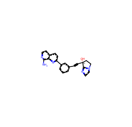 Nc1nccc2ccc(-c3cccc(C#C[C@@]4(O)CCn5ccnc54)c3)nc12